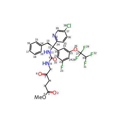 COC(=O)CCC(=O)CNC(=O)N[C@@](Cc1ccccc1)(c1cc(F)cc(OC(F)(F)C(F)F)c1)c1ccc(Cl)cn1